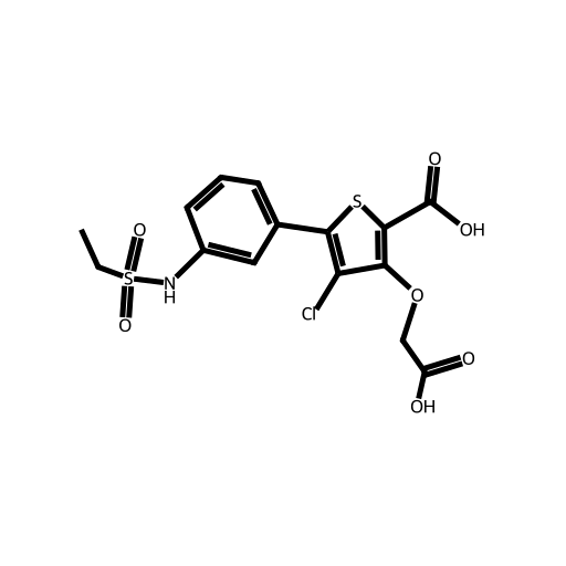 CCS(=O)(=O)Nc1cccc(-c2sc(C(=O)O)c(OCC(=O)O)c2Cl)c1